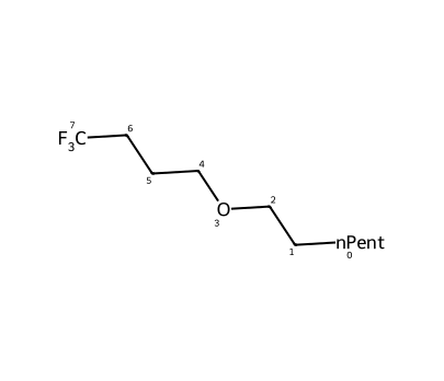 CCCCCCCOCCCC(F)(F)F